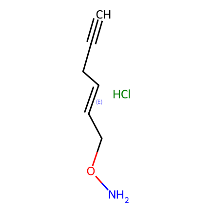 C#CC/C=C/CON.Cl